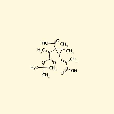 C=C(C(=O)OC(C)(C)C)C1(C(=O)O)C(/C=C(\C)C(=O)O)C1(C)C